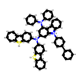 c1ccc(-c2ccc(-n3c4ccccc4c4c(N(c5ccccc5)c5ccccc5)cc(N(c5ccc6c(c5)sc5ccccc56)c5ccc6c(c5)sc5ccccc56)cc43)cc2)cc1